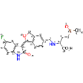 C[S+]([O-])CCC(NCc1ccc2c(c1)COC2=C1C(=O)Nc2ccc(F)cc21)C(=O)O